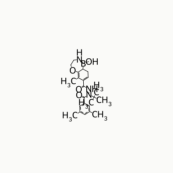 CC1=C2OCCNB(O)C2CC=C1C(=O)NN(C(=O)c1cc(C)cc(C)c1)C(C)(C)C